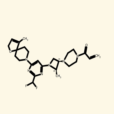 C=CC(=O)N1CCN([C@@H]2CN(c3cc(N4CCC5(CC4)OCC=C5C)nc(C(F)F)n3)[C@@H]2C)CC1